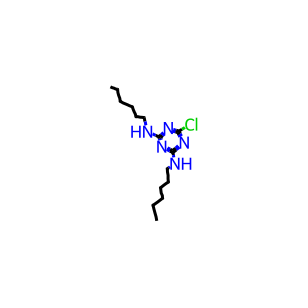 CCCCCCNc1nc(Cl)nc(NCCCCCC)n1